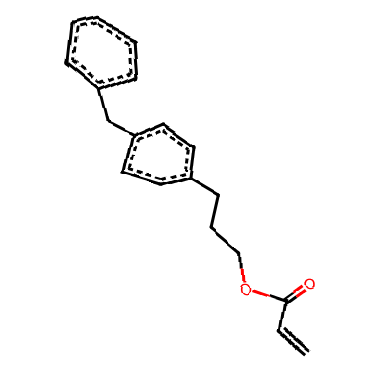 C=CC(=O)OCCCc1ccc(Cc2ccccc2)cc1